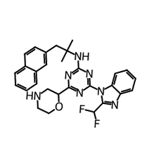 CC(C)(Cc1ccc2ccccc2c1)Nc1nc(C2CNCCO2)nc(-n2c(C(F)F)nc3ccccc32)n1